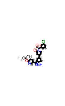 CC(C)Oc1ccc(-c2n[nH]c3ccc(-c4ccn([C@H](CO)c5cccc(Cl)c5)c(=O)c4)cc23)cn1